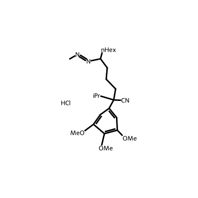 CCCCCCC(CCCC(C#N)(c1cc(OC)c(OC)c(OC)c1)C(C)C)N=NC.Cl